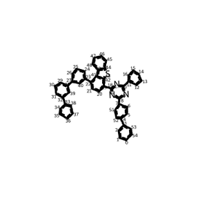 c1ccc(-c2ccc(-c3nc(-c4ccccc4)nc(-c4ccc(-c5cccc(-c6cccc(-c7ccccc7)c6)c5)c5c4sc4ccccc45)n3)cc2)cc1